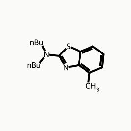 CCCCN(CCCC)c1nc2c(C)cccc2s1